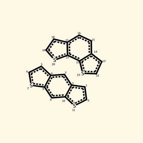 c1cc2cc3ccsc3cc2s1.c1cc2ccc3ccsc3c2s1